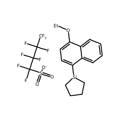 CCOc1ccc([S+]2CCCC2)c2ccccc12.O=S(=O)([O-])C(F)(F)C(F)(F)C(F)(F)C(F)(F)F